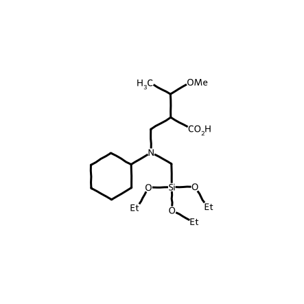 CCO[Si](CN(CC(C(=O)O)C(C)OC)C1CCCCC1)(OCC)OCC